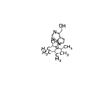 CC(C)[Si](C(C)C)(C(C)C)n1ccc2c(CO)ncnc21